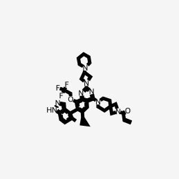 C=CC(=O)N1CC2(CCN(c3nc(N4CC(N5CCCCC5)C4)nc4c(OCC(F)(F)F)c(-c5c(C)ccc6[nH]ncc56)c(C5CC5)cc34)CC2)C1